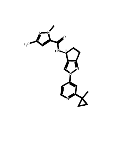 Cn1nc(C(F)(F)F)cc1C(=O)N[C@H]1CCc2nn(-c3ccnc(C4(C)CC4)c3)cc21